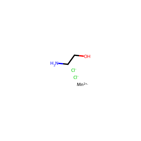 NCCO.[Cl-].[Cl-].[Mn+2]